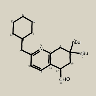 CCCCC1(CCCC)Cc2nc(CC3CCCCC3)ccc2C(C=O)C1